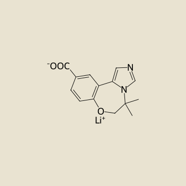 CC1(C)COc2ccc(C(=O)[O-])cc2-c2cncn21.[Li+]